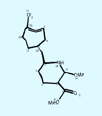 COC(=O)C1CCC([C@@H]2CC=C(C(F)(F)F)CC2)NC1OC